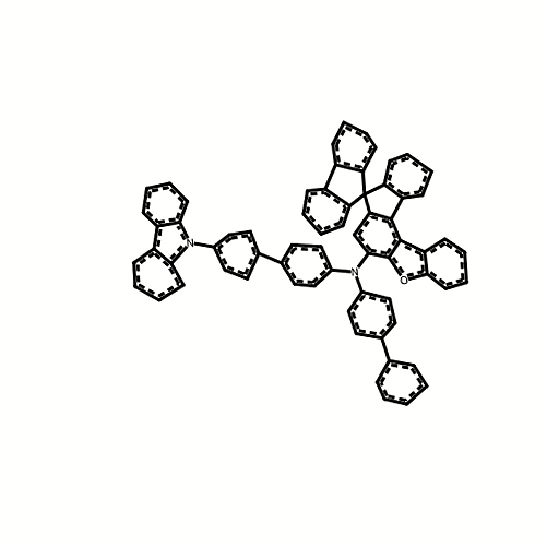 c1ccc(-c2ccc(N(c3ccc(-c4ccc(-n5c6ccccc6c6ccccc65)cc4)cc3)c3cc4c(c5c3oc3ccccc35)-c3ccccc3C43c4ccccc4-c4ccccc43)cc2)cc1